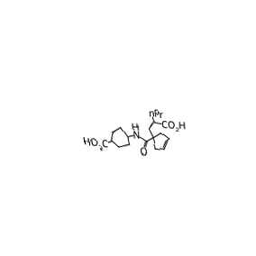 CCCC(CC1(C(=O)NC2CCC(C(=O)O)CC2)CC=CC1)C(=O)O